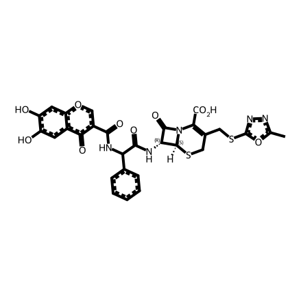 Cc1nnc(SCC2=C(C(=O)O)N3C(=O)[C@@H](NC(=O)C(NC(=O)c4coc5cc(O)c(O)cc5c4=O)c4ccccc4)[C@@H]3SC2)o1